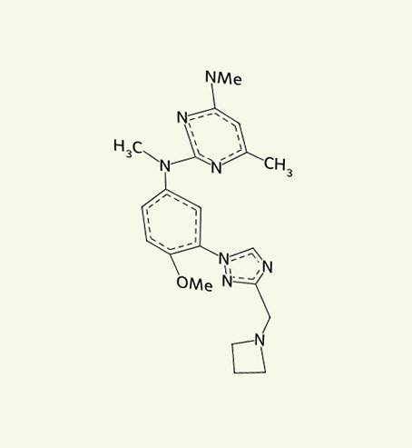 CNc1cc(C)nc(N(C)c2ccc(OC)c(-n3cnc(CN4CCC4)n3)c2)n1